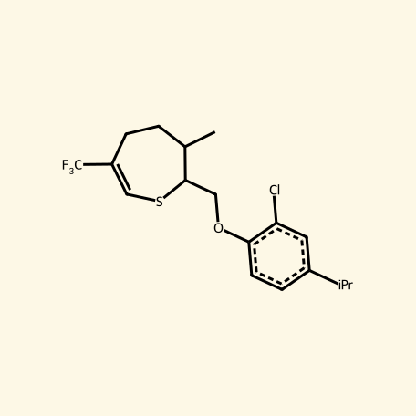 CC(C)c1ccc(OCC2SC=C(C(F)(F)F)CCC2C)c(Cl)c1